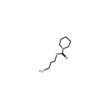 CCCCOC(=O)N1CCCCC1